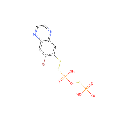 O=P(O)(O)SOP(=O)(O)SSc1cc2nccnc2cc1Br